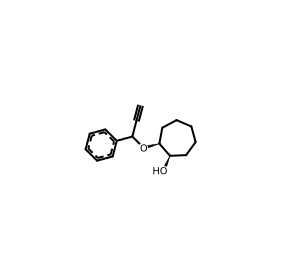 C#CC(O[C@H]1CCCCC[C@H]1O)c1ccccc1